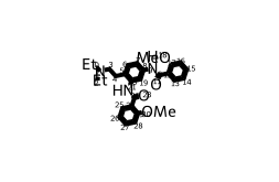 CCN(CC)CCc1ccc(NC(=O)c2ccccc2OC)cc1NC(=O)c1ccccc1OC